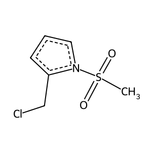 CS(=O)(=O)n1cccc1CCl